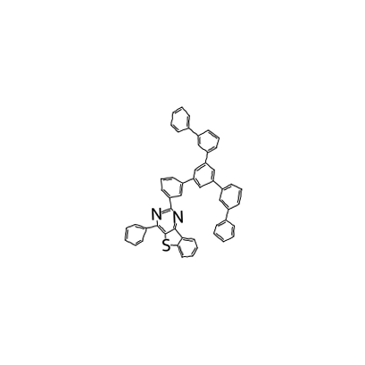 c1ccc(-c2cccc(-c3cc(-c4cccc(-c5ccccc5)c4)cc(-c4cccc(-c5nc(-c6ccccc6)c6sc7ccccc7c6n5)c4)c3)c2)cc1